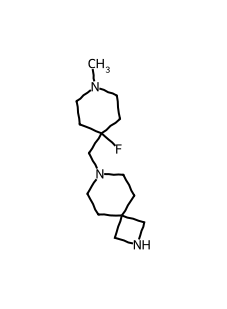 CN1CCC(F)(CN2CCC3(CC2)CNC3)CC1